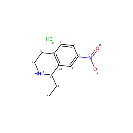 CCC1NCCc2ccc([N+](=O)[O-])cc21.Cl